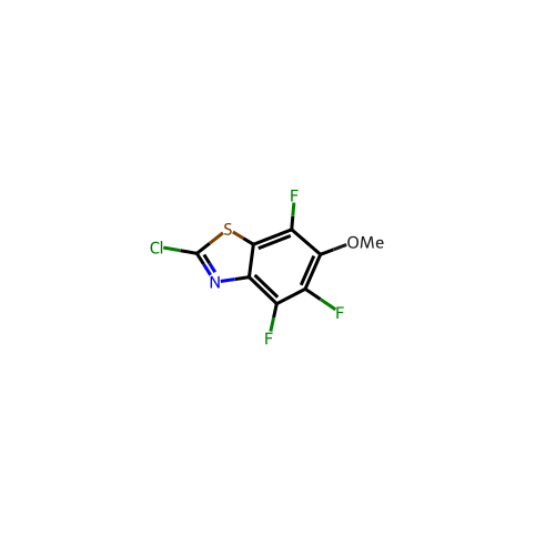 COc1c(F)c(F)c2nc(Cl)sc2c1F